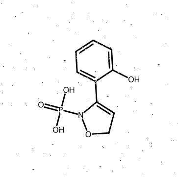 O=P(O)(O)N1OCC=C1c1ccccc1O